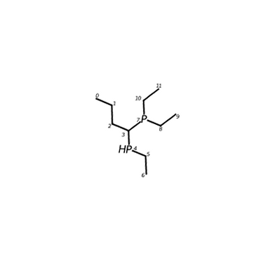 CCCC(PCC)P(CC)CC